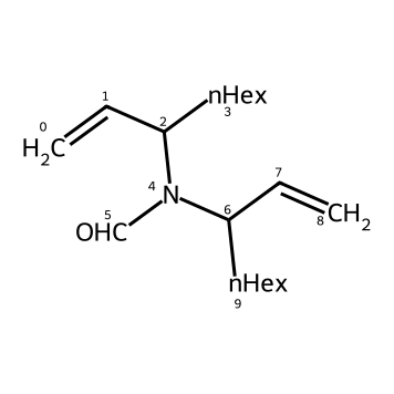 C=CC(CCCCCC)N(C=O)C(C=C)CCCCCC